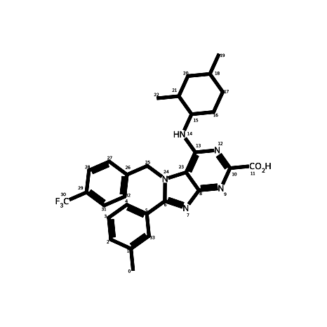 Cc1cccc(-c2nc3nc(C(=O)O)nc(NC4CCC(C)CC4C)c3n2Cc2ccc(C(F)(F)F)cc2)c1